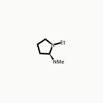 CCN1CCC[C@@H]1NC